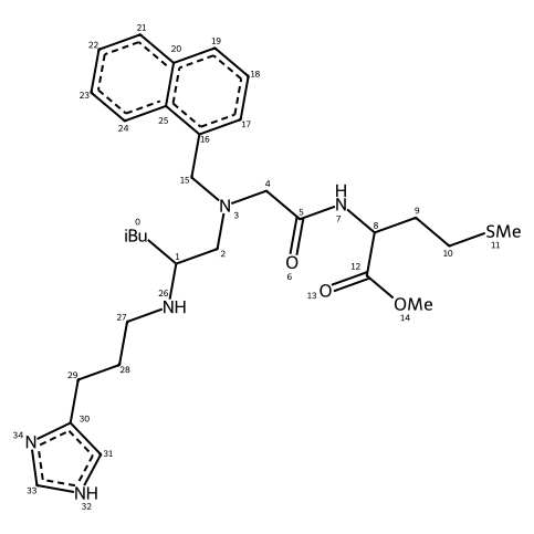 CCC(C)C(CN(CC(=O)NC(CCSC)C(=O)OC)Cc1cccc2ccccc12)NCCCc1c[nH]cn1